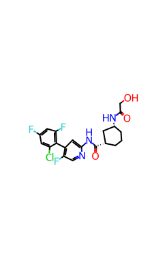 O=C(CO)N[C@@H]1CCC[C@H](C(=O)Nc2cc(-c3c(F)cc(F)cc3Cl)c(F)cn2)C1